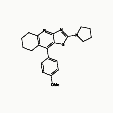 COc1ccc(-c2c3c(nc4nc(N5CCCC5)sc24)CCCC3)cc1